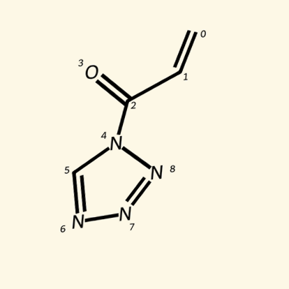 C=CC(=O)n1cnnn1